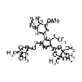 COc1cc(-c2c(CC(F)(F)F)c(B3OC(C)(C)C(C)(C)O3)nn2COCC[Si](C)(C)C)cn2ncnc12